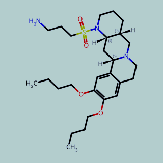 CCCCOc1cc2c(cc1OCCCC)[C@@H]1C[C@H]3[C@H](CCCN3S(=O)(=O)CCCN)CN1CC2